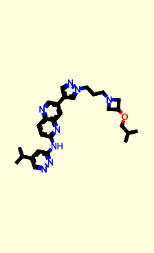 CC(C)COC1CN(CCCn2cc(-c3cnc4ccc(Nc5cc(C(C)C)cnn5)nc4c3)cn2)C1